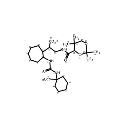 CCCCCCCCC1(NC(=O)NC2CCCCCC2C(CNC(=O)C2OC(C)(C)OCC2(C)C)C(=O)O)CCCCC1